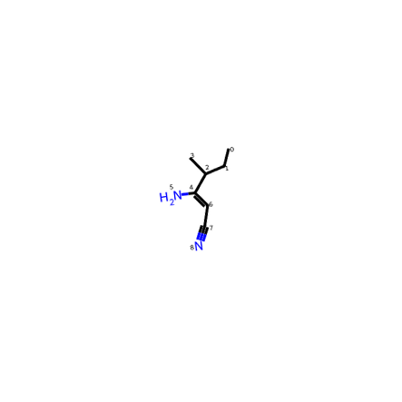 CCC(C)/C(N)=C/C#N